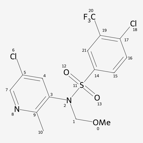 COCN(c1cc(Cl)cnc1C)S(=O)(=O)c1ccc(Cl)c(C(F)(F)F)c1